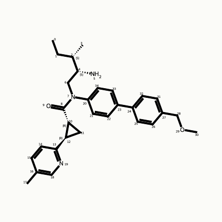 CC[C@H](C)[C@H](N)CN(C(=O)[C@@H]1C[C@H]1c1ccc(C)cn1)c1ccc(-c2ccc(COC)cc2)cc1